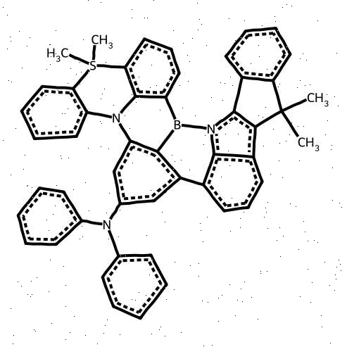 CC1(C)c2ccccc2-c2c1c1cccc3c1n2B1c2cccc4c2N(c2ccccc2S4(C)C)c2cc(N(c4ccccc4)c4ccccc4)cc-3c21